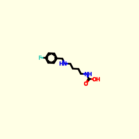 O=C(O)NCCCCNCc1ccc(F)cc1